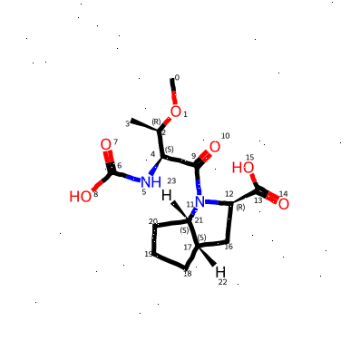 CO[C@H](C)[C@H](NC(=O)O)C(=O)N1[C@@H](C(=O)O)C[C@@H]2CCC[C@@H]21